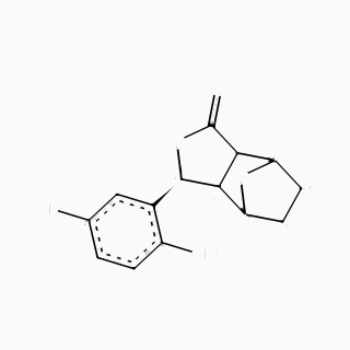 O=Cc1ccc(F)cc1[C@H]1OC(=O)C2C3CCC(O3)C21